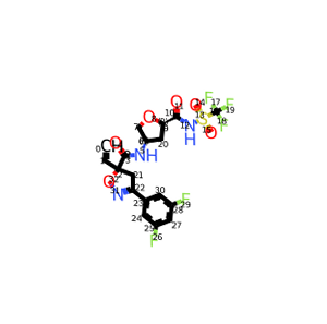 C=CC1(C(=O)N[C@H]2CO[C@@H](C(=O)NS(=O)(=O)C(F)(F)F)C2)CC(c2cc(F)cc(F)c2)=NO1